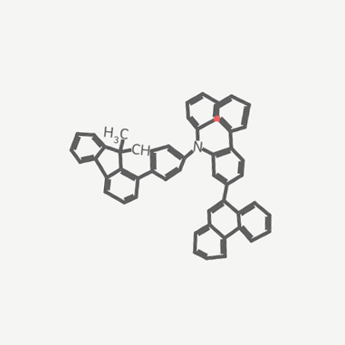 CC1(C)c2ccccc2-c2cccc(-c3ccc(N(c4ccccc4)c4cc(-c5cc6ccccc6c6ccccc56)ccc4-c4ccccc4)cc3)c21